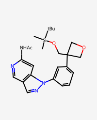 CC(=O)Nc1cc2c(cn1)cnn2-c1cccc(C2(CO[Si](C)(C)C(C)(C)C)COC2)c1